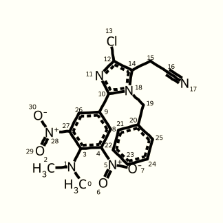 CN(C)c1c([N+](=O)[O-])cc(-c2nc(Cl)c(CC#N)n2Cc2ccccc2)cc1[N+](=O)[O-]